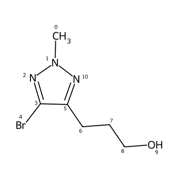 Cn1nc(Br)c(CCCO)n1